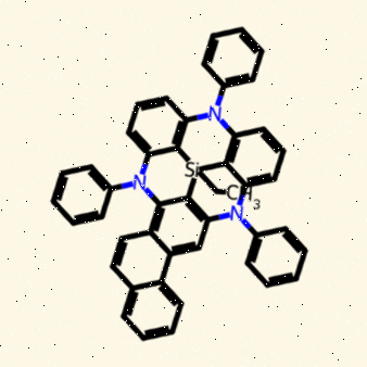 CC[Si]12c3c4cccc3N(c3ccccc3)c3cc5c(ccc6ccccc65)c(c31)N(c1ccccc1)c1cccc(c12)N4c1ccccc1